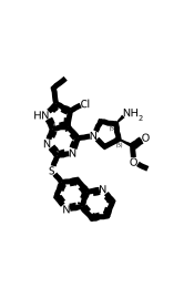 CCc1[nH]c2nc(Sc3cnc4cccnc4c3)nc(N3C[C@@H](N)[C@@H](C(=O)OC)C3)c2c1Cl